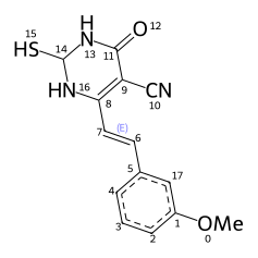 COc1cccc(/C=C/C2=C(C#N)C(=O)NC(S)N2)c1